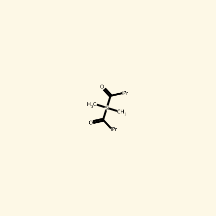 CC(C)C(=O)[Si](C)(C)C(=O)C(C)C